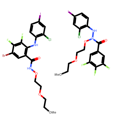 COCCOCCON(Nc1ccc(I)cc1Cl)C(=O)c1cc(F)c(F)c(F)c1.COCCOCCONC(=O)c1cc(Br)c(F)c(F)c1Nc1ccc(I)cc1Cl